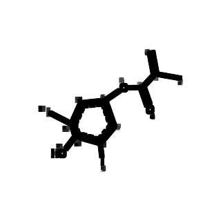 C=C(C)C(=O)Oc1cc(I)c(O)c(I)c1